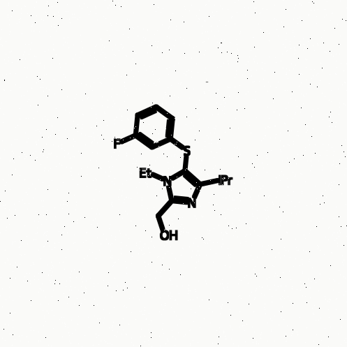 CCn1c(CO)nc(C(C)C)c1Sc1cccc(F)c1